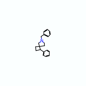 c1ccc(CN2CCC3(CCC3c3ccccc3)C2)cc1